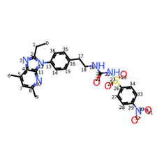 CCc1nc2c(C)cc(C)nc2n1-c1ccc(CCNC(=O)NS(=O)(=O)c2ccc([N+](=O)[O-])cc2)cc1